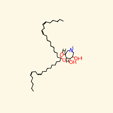 CCCCC/C=C\C/C=C\CCCCCCCCC1(CCCCCCCC/C=C\C/C=C\CCCCC)O[C@H]2[C@H](O)[C@H](O)CN(C)C[C@H]2O1